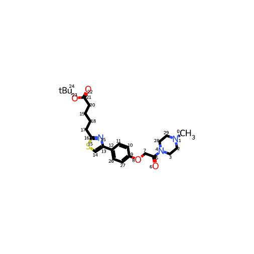 CN1CCN(C(=O)COc2ccc(-c3csc(CCCCC(=O)OC(C)(C)C)n3)cc2)CC1